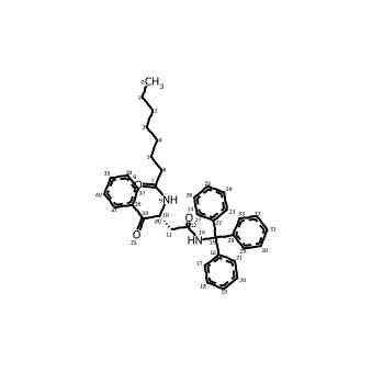 CCCCCCCC(=O)N[C@H](CC(=O)NC(c1ccccc1)(c1ccccc1)c1ccccc1)C(=O)c1ccccc1